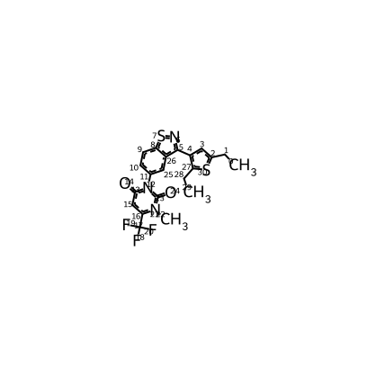 CCc1cc(-c2nsc3ccc(-n4c(=O)cc(C(F)(F)F)n(C)c4=O)cc23)c(CC)s1